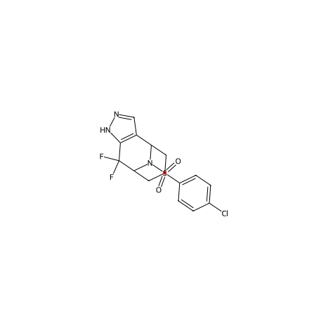 O=S(=O)(c1ccc(Cl)cc1)N1C2CCCC1C(F)(F)c1[nH]ncc12